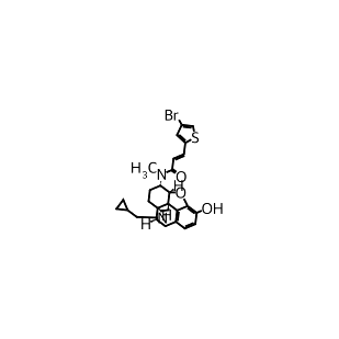 CN(C(=O)/C=C/c1cc(Br)cs1)[C@H]1CC[C@H]2[C@H]3Cc4ccc(O)c5c4[C@@]2(CCN3CC2CC2)[C@H]1O5